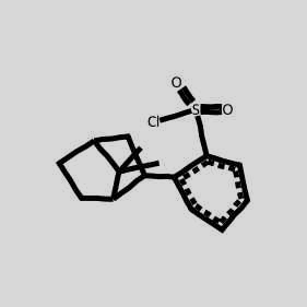 CC1(C)C2CCC1C(c1ccccc1S(=O)(=O)Cl)C2